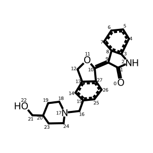 O=C1Nc2ccccc2/C1=C1\OCc2cc(CN3CCC(CO)CC3)ccc21